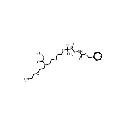 CC(C)(C)OC(=O)N(CCOCCN)CCOCCOC(C)(C)C(F)CNC(=O)OCc1ccccc1